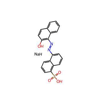 O=S(=O)(O)c1cccc2c(N=Nc3c(O)ccc4ccccc34)cccc12.[NaH]